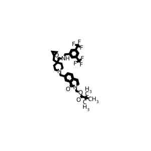 CC(C)(C)C(=O)OCn1ccc2ccc(CN3CCC(CC4CC4)(C(=O)NCc4cc(C(F)(F)F)cc(C(F)(F)F)c4)CC3)cc2c1=O